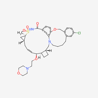 C[C@@]12C[C@H]1C/C=C\[C@H](OCCN1CCOCC1)[C@@H]1CC[C@H]1CN1CCCCc3cc(Cl)ccc3COc3ccc(cc31)C(=O)NS2(=O)=O